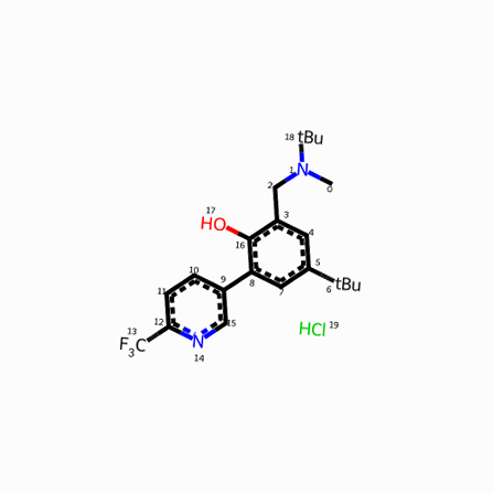 CN(Cc1cc(C(C)(C)C)cc(-c2ccc(C(F)(F)F)nc2)c1O)C(C)(C)C.Cl